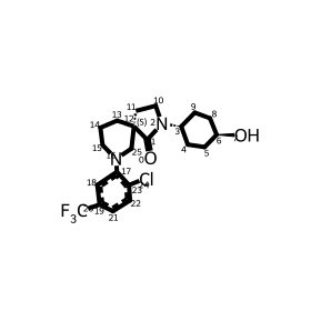 O=C1N([C@H]2CC[C@H](O)CC2)CC[C@]12CCCN(c1cc(C(F)(F)F)ccc1Cl)C2